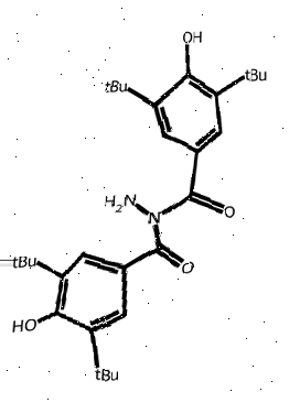 CC(C)(C)c1cc(C(=O)N(N)C(=O)c2cc(C(C)(C)C)c(O)c(C(C)(C)C)c2)cc(C(C)(C)C)c1O